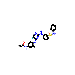 C=CC(=O)Nc1ccc(Nc2nc(Nc3cccc(S(=O)(=O)Nc4ccccc4)c3)ncc2F)c(C)c1